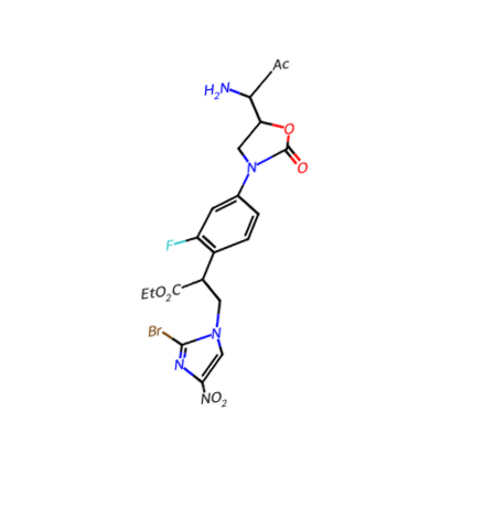 CCOC(=O)C(Cn1cc([N+](=O)[O-])nc1Br)c1ccc(N2CC(C(N)C(C)=O)OC2=O)cc1F